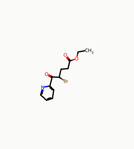 CCOC(=O)CCC(Br)C(=O)c1ccccn1